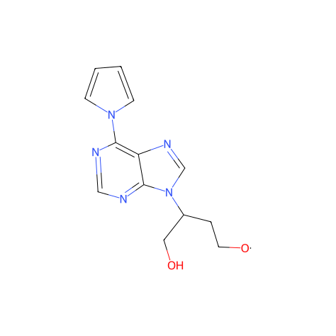 [O]CCC(CO)n1cnc2c(-n3cccc3)ncnc21